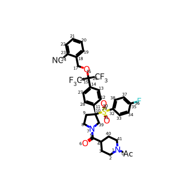 CC(=O)N1CCC(C(=O)N2CC[C@](c3ccc(C(OCc4ccccc4C#N)(C(F)(F)F)C(F)(F)F)cc3)(S(=O)(=O)c3ccc(F)cc3)C2)CC1